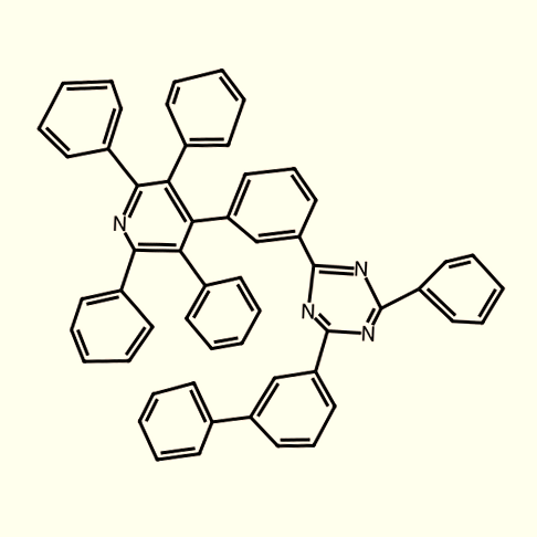 c1ccc(-c2cccc(-c3nc(-c4ccccc4)nc(-c4cccc(-c5c(-c6ccccc6)c(-c6ccccc6)nc(-c6ccccc6)c5-c5ccccc5)c4)n3)c2)cc1